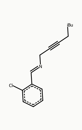 CCC(C)CC#CCN=Cc1ccccc1Cl